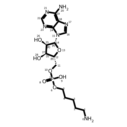 NCCCCCOP(=O)(O)OC[C@H]1O[C@@H](n2cnc3c(N)ncnc32)[C@H](O)[C@@H]1O